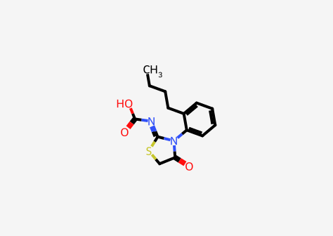 CCCCc1ccccc1N1C(=O)CS/C1=N\C(=O)O